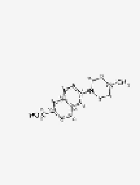 CN1CCN(c2ccc3cc(C(=O)O)ccc3c2)CC1